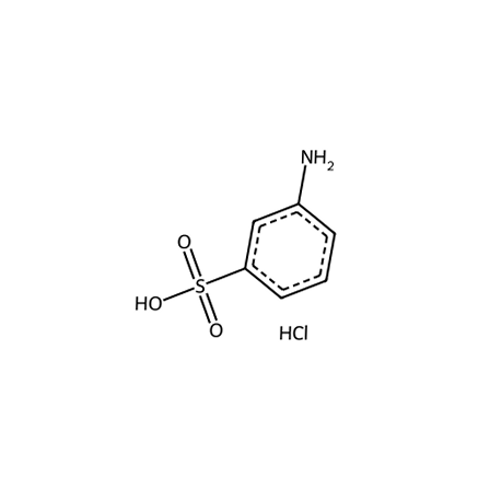 Cl.Nc1cccc(S(=O)(=O)O)c1